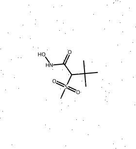 CC(C)(C)C(C(=O)NO)S(C)(=O)=O